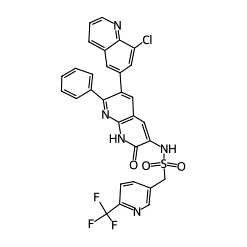 O=c1[nH]c2nc(-c3ccccc3)c(-c3cc(Cl)c4ncccc4c3)cc2cc1NS(=O)(=O)Cc1ccc(C(F)(F)F)nc1